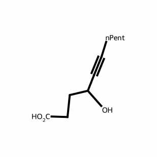 CCCCCC#CC(O)CCC(=O)O